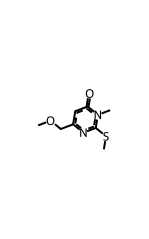 COCc1cc(=O)n(C)c(SC)n1